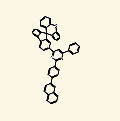 c1ccc(-c2cc(-c3ccc4c(c3)C3(c5ccccc5Sc5ccccc53)c3ccccc3-4)nc(-c3ccc(-c4ccc5ccccc5c4)cc3)n2)cc1